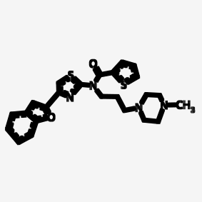 CN1CCN(CCCN(C(=O)c2cccs2)c2nc(-c3cc4ccccc4o3)cs2)CC1